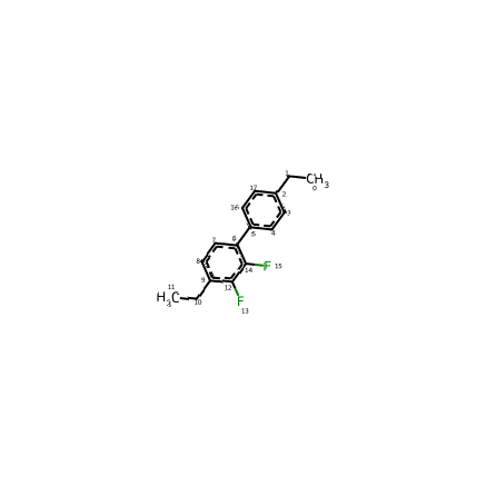 CCc1ccc(-c2ccc(CC)c(F)c2F)cc1